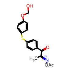 CC(=O)O/N=C(\C)C(=O)c1ccc(Sc2ccc(OCO)cc2)cc1